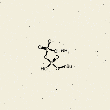 CCCCOP(=O)(O)OP(=O)(O)O.N